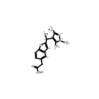 COC(=O)Cc1ccc2oc(C(O)c3c(C)nn(C)c3C)cc2c1